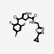 O=C(C1=CNC(C(=O)NCc2nnc(C3CC3)s2)C1)c1c(F)cc(F)cc1F